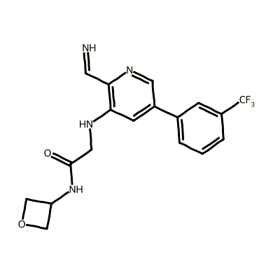 N=Cc1ncc(-c2cccc(C(F)(F)F)c2)cc1NCC(=O)NC1COC1